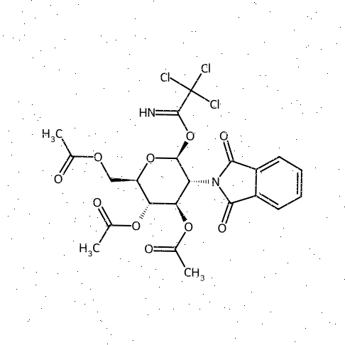 CC(=O)OC[C@H]1O[C@@H](OC(=N)C(Cl)(Cl)Cl)[C@H](N2C(=O)c3ccccc3C2=O)[C@@H](OC(C)=O)[C@@H]1OC(C)=O